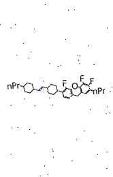 CCCc1cc2c(c(F)c1F)Oc1c(ccc(C3CCC(/C=C/C4CCC(CCC)CC4)CC3)c1F)C2